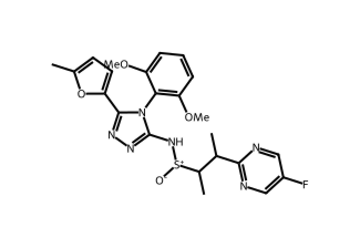 COc1cccc(OC)c1-n1c(N[S+]([O-])C(C)C(C)c2ncc(F)cn2)nnc1-c1ccc(C)o1